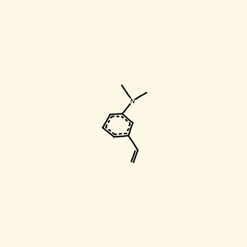 C=Cc1[c]ccc(N(C)C)c1